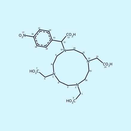 O=C(O)CN1CCN(CC(=O)O)CCN(C(C(=O)O)c2ccc([N+](=O)[O-])cc2)CCN(CC(=O)O)CC1